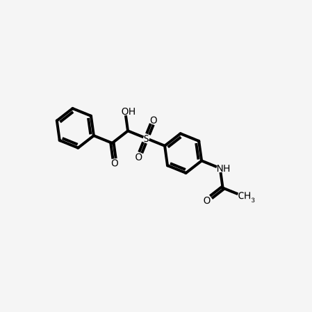 CC(=O)Nc1ccc(S(=O)(=O)C(O)C(=O)c2ccccc2)cc1